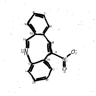 O=[N+]([O-])C1=Cc2ccccc2/C=N\c2ccccc21